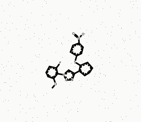 COc1cccc(F)c1-n1cc(-c2ccccc2Sc2ccc([N+](=O)[O-])cc2)nn1